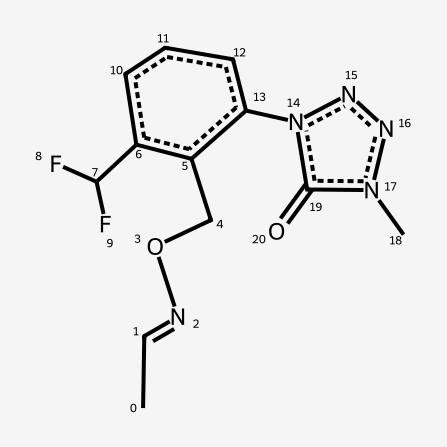 CC=NOCc1c(C(F)F)cccc1-n1nnn(C)c1=O